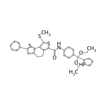 CCOC(OCC)(c1ccc(NC(=O)c2sc(SC)c3c2CCc2cc(-c4ccccc4)sc2-3)cc1)c1ccc[pH]1